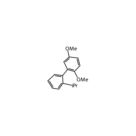 COc1ccc(OC)c(-c2ccccc2C(C)C)c1